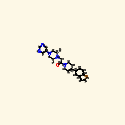 C[C@@H]1CN(c2cncnc2)C[C@H](C)N1CC(=O)N1CC=C(c2ccc3sccc3c2)CC1